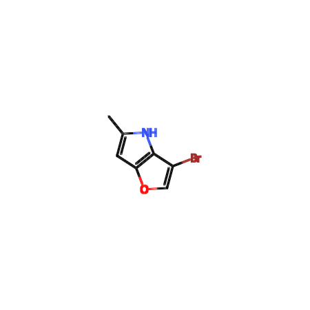 Cc1cc2occ(Br)c2[nH]1